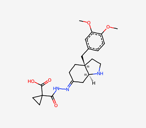 COc1ccc(C[C@@]23CCN[C@H]2CC(=NNC(=O)C2(C(=O)O)CC2)CC3)cc1OC